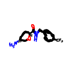 N[C@@H]1CC[C@@H](C(=O)NCc2ccc(C(F)(F)F)cc2)OC1